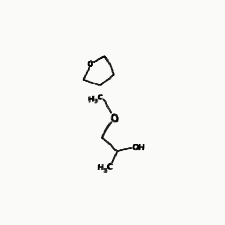 C1CCOC1.COCC(C)O